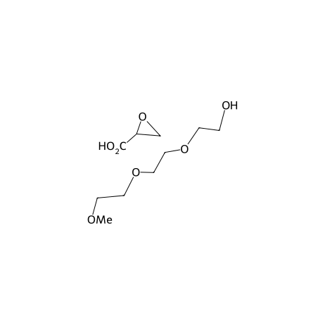 COCCOCCOCCO.O=C(O)C1CO1